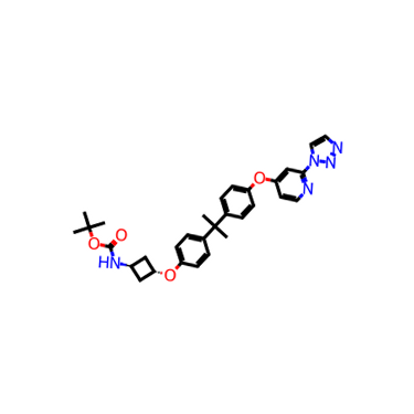 CC(C)(C)OC(=O)N[C@H]1C[C@H](Oc2ccc(C(C)(C)c3ccc(Oc4ccnc(-n5ccnn5)c4)cc3)cc2)C1